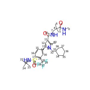 CNC(=O)C(C)(C)CNC(=O)c1cc(-c2ccc([S+]([O-])NC(C)(C)C)c(C(F)(F)F)c2)n(CC2CCCCC2)c1C